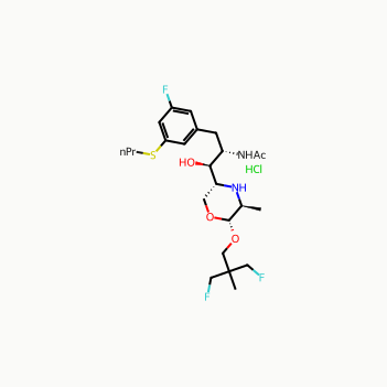 CCCSc1cc(F)cc(C[C@H](NC(C)=O)[C@H](O)[C@H]2CO[C@@H](OCC(C)(CF)CF)[C@H](C)N2)c1.Cl